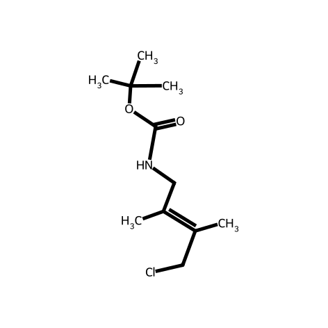 CC(CCl)=C(C)CNC(=O)OC(C)(C)C